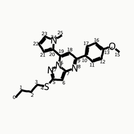 CCCCSc1cc2nc(-c3ccc(OC)cc3)cc(-c3cccn3C)n2n1